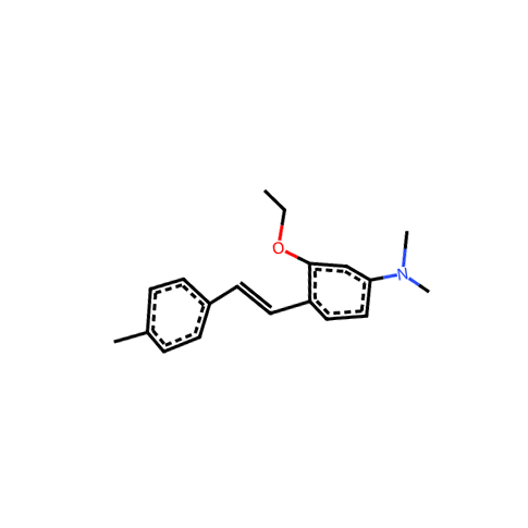 CCOc1cc(N(C)C)ccc1C=Cc1ccc(C)cc1